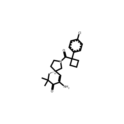 CC1(C)C[C@]2(C=C(N)C1=O)CCN(C(=O)C1(c3ccc(Cl)cc3)CCC1)C2